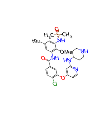 COc1c(NC(=O)c2ccc(Cl)c(Oc3ccnc(NC4CCNCC4)c3)c2)cc(C(C)(C)C)cc1N[SH](C)(C)=O